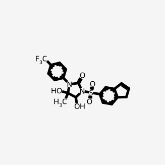 CC1(O)C(O)N(S(=O)(=O)c2ccc3c(c2)C=CC3)C(=O)N1c1ccc(C(F)(F)F)cc1